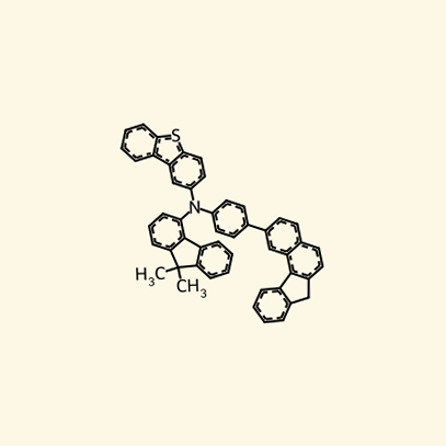 CC1(C)c2ccccc2-c2c(N(c3ccc(-c4ccc5ccc6c(c5c4)-c4ccccc4C6)cc3)c3ccc4sc5ccccc5c4c3)cccc21